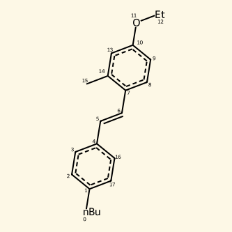 CCCCc1ccc(C=Cc2ccc(OCC)cc2C)cc1